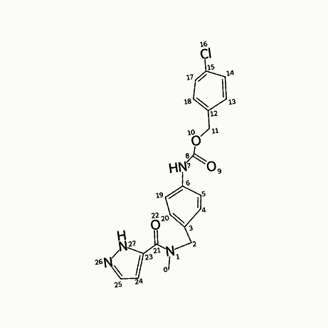 CN(Cc1ccc(NC(=O)OCc2ccc(Cl)cc2)cc1)C(=O)c1ccn[nH]1